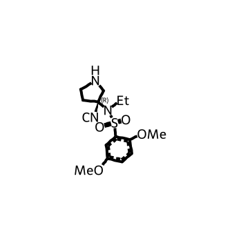 CCN([C@]1(C#N)CCNC1)S(=O)(=O)c1cc(OC)ccc1OC